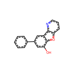 Oc1cc(-c2ccccc2)cc2c1oc1cccnc12